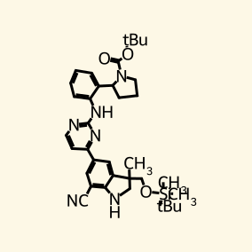 CC(C)(C)OC(=O)N1CCCC1c1ccccc1Nc1nccc(-c2cc(C#N)c3c(c2)C(C)(CO[Si](C)(C)C(C)(C)C)CN3)n1